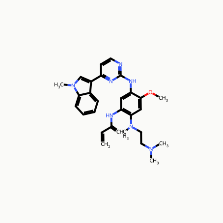 C=CC(=C)Nc1cc(Nc2nccc(-c3cn(C)c4ccccc34)n2)c(OC)cc1N(C)CCN(C)C